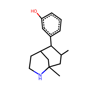 CC1CC2(C)CC(CCN2)C1c1cccc(O)c1